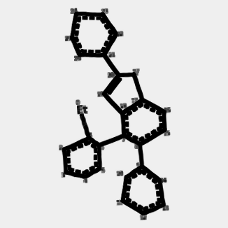 CCc1ccccc1-c1c(-c2ccccc2)ccc2c1C=C(c1ccccc1)[CH]2